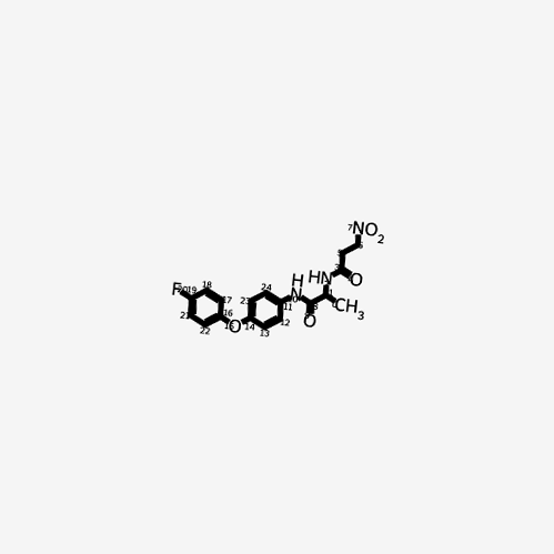 CC(NC(=O)CC[N+](=O)[O-])C(=O)Nc1ccc(Oc2ccc(F)cc2)cc1